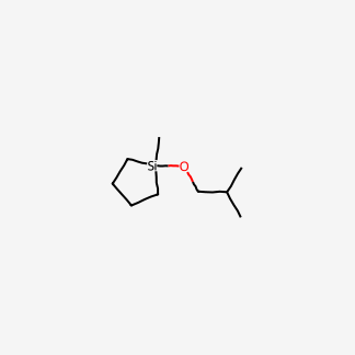 CC(C)CO[Si]1(C)CCCC1